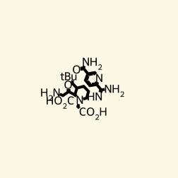 CC(C)(C)CC1CCCN(CC(=O)O)C1(C(=O)O)C(=O)CN.N=C(N)c1ccc(C(N)=O)cn1